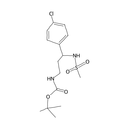 CC(C)(C)OC(=O)NCCC(NS(C)(=O)=O)c1ccc(Cl)cc1